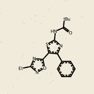 CCc1noc(-c2sc(NC(=O)C(C)(C)C)nc2-c2ccccc2)n1